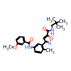 COc1cccc(C(=O)Nc2ccc(C)c(-c3cc(C(=O)NCC(C)(C)C)on3)c2)c1